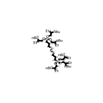 CCCCC(CC)CO[Si](CCCSSSCCC[Si](OCC(CC)CCCC)(OCC(CC)CCCC)OCC(CC)CCCC)(OCC(CC)CCCC)OCC(CC)CCCC